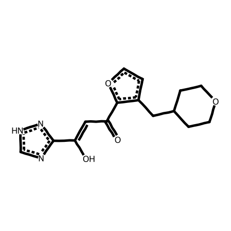 O=C(C=C(O)c1nc[nH]n1)c1occc1CC1CCOCC1